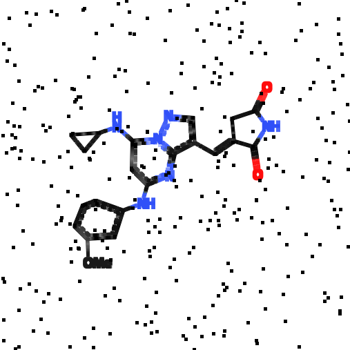 COc1cccc(Nc2cc(NC3CC3)n3ncc(C=C4CC(=O)NC4=O)c3n2)c1